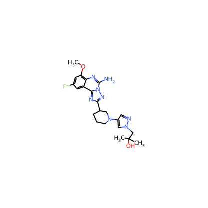 COc1cc(F)cc2c1nc(N)n1nc(C3CCCN(c4cnn(CC(C)(C)O)c4)C3)nc21